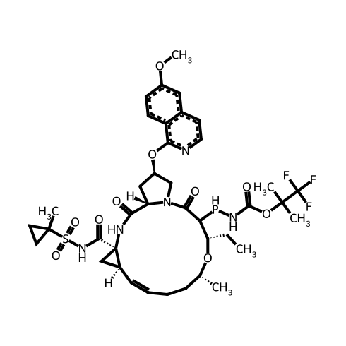 CC[C@@H]1O[C@H](C)CC/C=C\[C@H]2C[C@@]2(C(=O)NS(=O)(=O)C2(C)CC2)NC(=O)[C@@H]2C[C@@H](Oc3nccc4cc(OC)ccc34)CN2C(=O)C1PNC(=O)OC(C)(C)C(F)(F)F